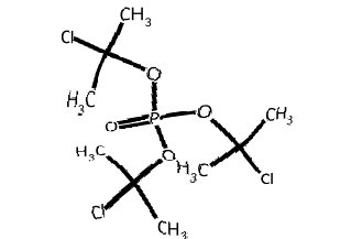 CC(C)(Cl)OP(=O)(OC(C)(C)Cl)OC(C)(C)Cl